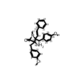 COc1ccc(CC2(N)C(=O)N(C)C2(C=Cc2ccccc2)Cc2ccc(OC)cc2)cc1